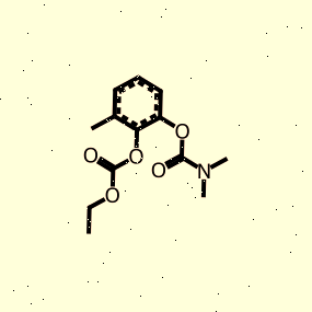 CCOC(=O)Oc1c(C)cccc1OC(=O)N(C)C